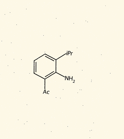 CC(=O)c1cccc(C(C)C)c1N